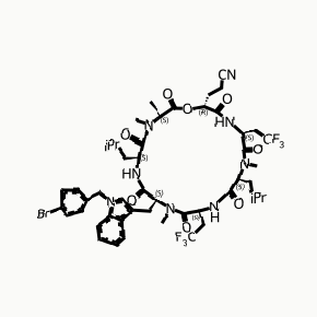 CC(C)C[C@@H]1NC(=O)[C@H](Cc2cn(Cc3ccc(Br)cc3)c3ccccc23)N(C)C(=O)[C@H](CC(F)(F)F)NC(=O)[C@H](CC(C)C)N(C)C(=O)[C@H](CC(F)(F)F)NC(=O)[C@@H](CCC#N)OC(=O)[C@H](C)N(C)C1=O